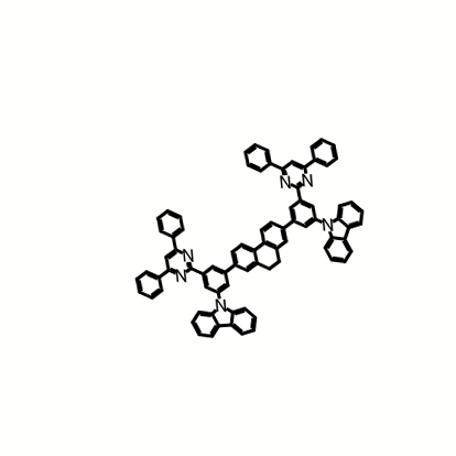 c1ccc(-c2cc(-c3ccccc3)nc(-c3cc(-c4ccc5c(c4)CCc4cc(-c6cc(-c7nc(-c8ccccc8)cc(-c8ccccc8)n7)cc(-n7c8ccccc8c8ccccc87)c6)ccc4-5)cc(-n4c5ccccc5c5ccccc54)c3)n2)cc1